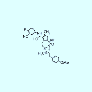 COc1ccc(CC[C@H](C)[C@H]2CCc3c(cn(C)c3C(O)Nc3ccc(F)c(C#N)c3)S(=N)(=O)N2)cc1